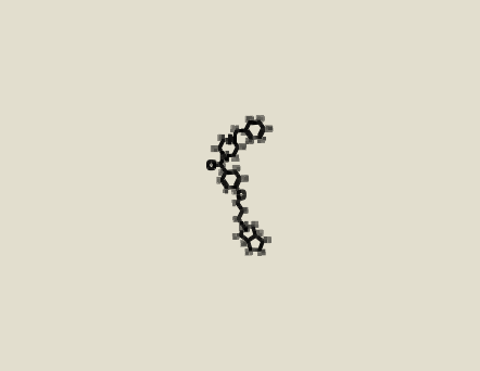 O=C(c1ccc(OCCCN2CC3CCCC3C2)cc1)N1CCN(Cc2ccccc2)CC1